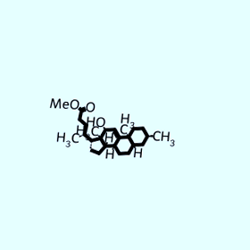 COC(=O)CC[C@@H](C)[C@H]1CC[C@H]2[C@@H]3CC[C@@H]4C[C@H](C)CC[C@]4(C)C3=C[C@@H](O)[C@]12C